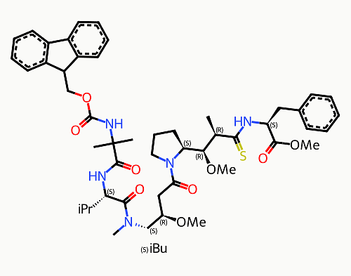 CC[C@H](C)[C@@H]([C@@H](CC(=O)N1CCC[C@H]1[C@H](OC)[C@@H](C)C(=S)N[C@@H](Cc1ccccc1)C(=O)OC)OC)N(C)C(=O)[C@@H](NC(=O)C(C)(C)NC(=O)OCC1c2ccccc2-c2ccccc21)C(C)C